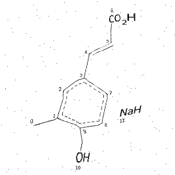 Cc1cc(C=CC(=O)O)ccc1O.[NaH]